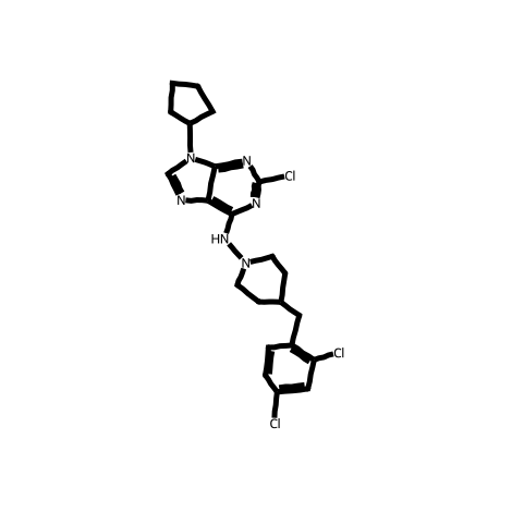 Clc1ccc(CC2CCN(Nc3nc(Cl)nc4c3ncn4C3CCCC3)CC2)c(Cl)c1